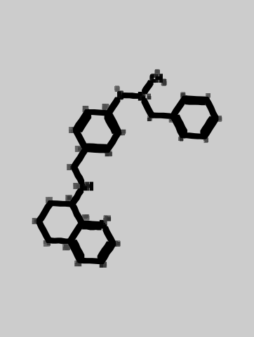 CN(Cc1ccccc1)Sc1ccc(CNC2CCCc3cccnc32)cc1